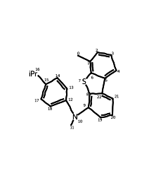 Cc1cccc2c1sc1c(N(C)c3ccc(C(C)C)cc3)cccc12